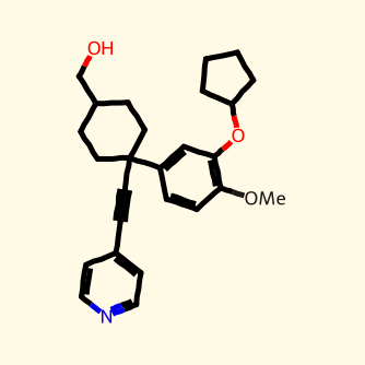 COc1ccc(C2(C#Cc3ccncc3)CCC(CO)CC2)cc1OC1CCCC1